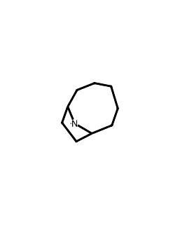 C1CCC2CCC(CC1)[N]2